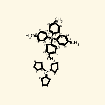 C1CCC([PH+](C2CCCC2)C2CCCC2)C1.Cc1ccc([B-](c2ccc(C)cc2)(c2ccc(C)cc2)c2ccc(C)cc2)cc1